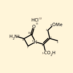 COCC(C)=C(C(=O)O)N1CC(N)C1=O.Cl